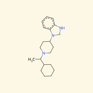 CC(C1CCCCC1)N1CCC(N2[CH]Nc3ccccc32)CC1